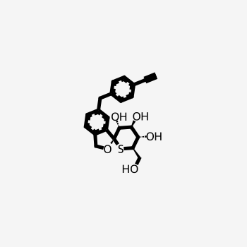 C#Cc1ccc(Cc2ccc3c(c2)[C@]2(OC3)S[C@H](CO)[C@@H](O)[C@H](O)[C@H]2O)cc1